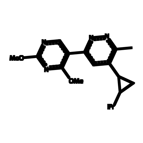 COc1ncc(-c2cc(C3CC3C(C)C)c(C)nn2)c(OC)n1